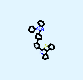 c1ccc(-n2c(-c3ccc(-c4cccc(-c5nc6ccccc6c6c5sc5ccccc56)c4)cc3)nc3ccccc32)cc1